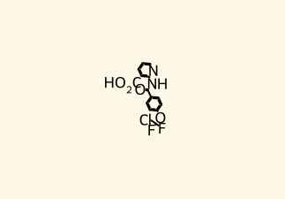 O=C(Nc1ncccc1C(=O)O)c1ccc(OC(F)(F)Cl)cc1